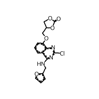 O=C1OCC(COc2cccc3c(NCc4ccco4)nc(Cl)nc23)O1